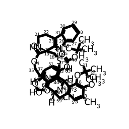 COc1c(C)cc2c(c1OC(C)(C)C)[C@H]1C3[C@@H]4SC[C@]5(NCCc6c5[nH]c5ccccc65)C(=O)OC[C@@H](c5c6c(c(C)c(OC(=O)OC(C)(C)C)c54)OCO6)N3[C@@H](O)[C@@H](C2)N1C